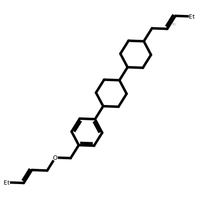 CCC=CCOCc1ccc(C2CCC(C3CCC(C/C=C/CC)CC3)CC2)cc1